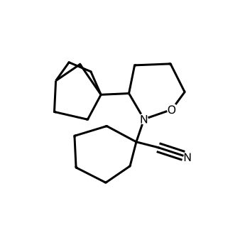 N#CC1(N2OCCCC2C23CCC(CC2)C3)CCCCC1